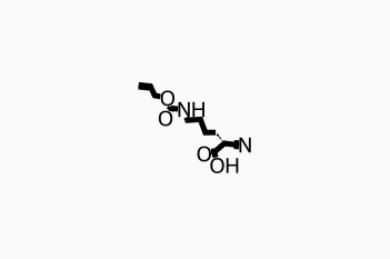 C=CCOC(=O)NCCCC[C@H](C#N)C(=O)O